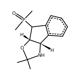 CC1(C)N[C@H]2c3ccccc3C(P(C)(C)=O)[C@H]2O1